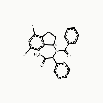 NC(=O)C(c1ccccn1)N(C(=O)c1ccccc1)[C@@H]1CCc2c(F)cc(Cl)cc21